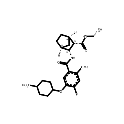 CC[C@@H](C)CNC(=O)[C@H]1[C@@H]2CC[C@@H](C2)[C@H]1NC(=O)c1cc(OC2CCC(C(=O)O)CC2)c(F)cc1OC